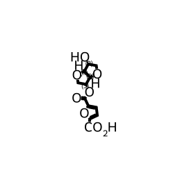 O=C(O)c1ccc(C(=O)O[C@H]2CO[C@H]3[C@@H]2OC[C@H]3O)o1